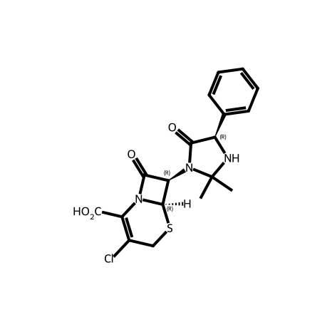 CC1(C)N[C@H](c2ccccc2)C(=O)N1[C@@H]1C(=O)N2C(C(=O)O)=C(Cl)CS[C@H]12